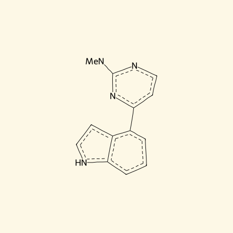 CNc1nccc(-c2cccc3[nH]ccc23)n1